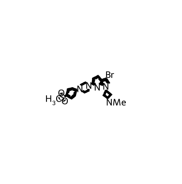 CNC1CC(n2cc(Br)c3ccc(N4CCN(c5ccc(S(C)(=O)=O)cc5)CC4)nc32)C1